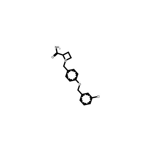 NC(=O)C1CCN1Cc1ccc(OCc2cccc(Cl)c2)cc1